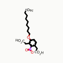 CCCCCCCCCCCCCCCCCCOc1ccc(CC(=O)O)c(I(=O)=O)c1CC(=O)O